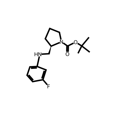 CC(C)(C)OC(=O)N1CCC[C@@H]1CNc1cccc(F)c1